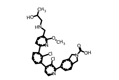 COc1nc(-c2cccc(-c3ccnc(-c4ccc5c(c4)CN(C(=O)O)C5)c3Cl)c2Cl)ccc1CNCC(C)O